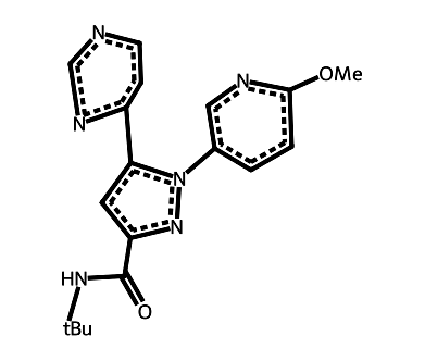 COc1ccc(-n2nc(C(=O)NC(C)(C)C)cc2-c2ccncn2)cn1